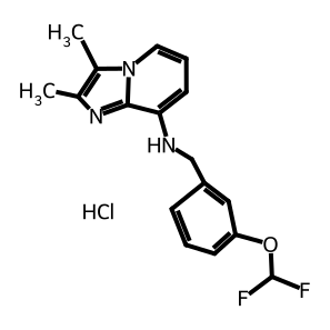 Cc1nc2c(NCc3cccc(OC(F)F)c3)cccn2c1C.Cl